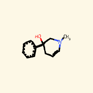 CN1C=CCC(O)(c2ccccc2)C1